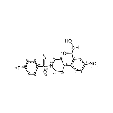 O=C(NO)c1cc([N+](=O)[O-])ccc1N1CCN(S(=O)(=O)c2ccc(F)cc2)CC1